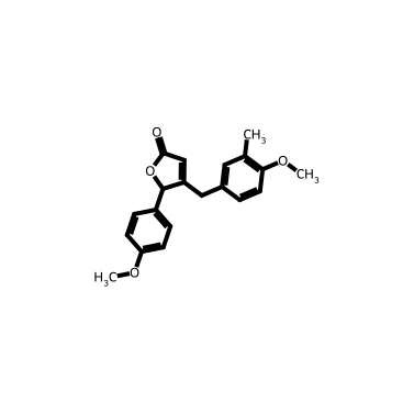 COc1ccc(C2OC(=O)C=C2Cc2ccc(OC)c(C)c2)cc1